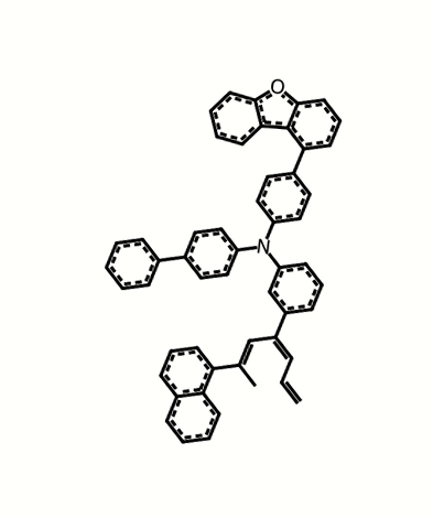 C=C/C=C(\C=C(/C)c1cccc2ccccc12)c1cccc(N(c2ccc(-c3ccccc3)cc2)c2ccc(-c3cccc4oc5ccccc5c34)cc2)c1